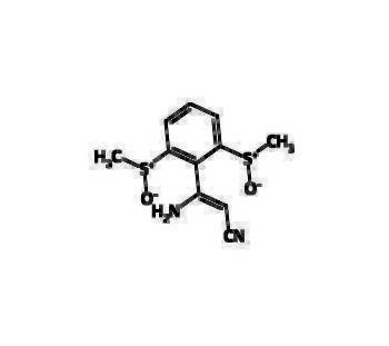 C[S+]([O-])c1cccc([S+](C)[O-])c1/C(N)=C/C#N